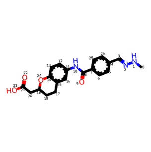 CNN=Cc1ccc(C(=O)Nc2ccc3c(c2)CCC(CC(=O)O)O3)cc1